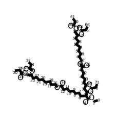 CCOC(=O)C(CCCCCCCC(=O)OCCCCCCCCC(COC(=O)CC)OC(=O)CC)C(CCCCCCCC(=O)OCCCCCCCCC(COC(=O)CC)OC(=O)CC)OC(=O)CC